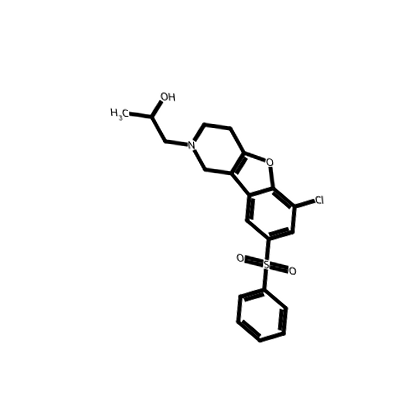 CC(O)CN1CCc2oc3c(Cl)cc(S(=O)(=O)c4ccccc4)cc3c2C1